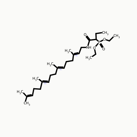 CCOP(=O)(OCC)C(CC)C(=O)NC/C=C(\C)CC/C=C(\C)CC/C=C(\C)CCC=C(C)C